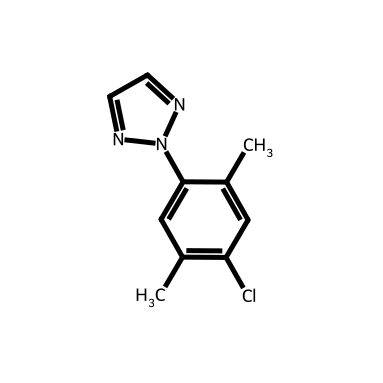 Cc1cc(-n2nccn2)c(C)cc1Cl